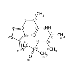 CC(C)c1nc(CN(C)C(=O)N[C@H](C)C(C)CP(C)(C)=O)cs1